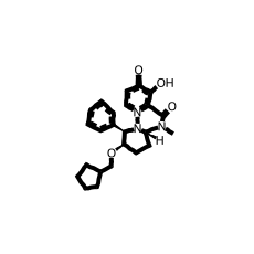 CN1C(=O)c2c(O)c(=O)ccn2N2[C@H](c3ccccc3)[C@H](OCC3CCCC3)CC[C@@H]12